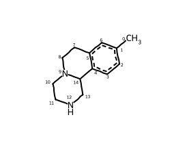 Cc1ccc2c(c1)CCN1CCNCC21